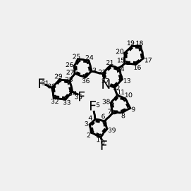 Fc1ccc(F)c(-c2cccc(-c3cc(-c4ccccc4)cc(-c4cccc(-c5cc(F)ccc5F)c4)n3)c2)c1